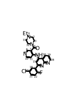 CCN1CCN(C(=O)c2cnccc2Nc2cc(-c3cc(Cl)ccc3F)nc3ncccc23)CC1